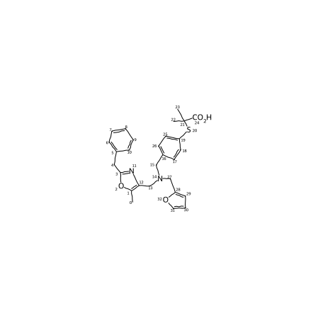 Cc1oc(Cc2ccccc2)nc1CN(Cc1ccc(SC(C)(C)C(=O)O)cc1)Cc1ccco1